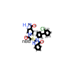 CCCCC(Sc1nc2ccccc2c(=O)n1-c1cccc(-c2ccccc2Cl)c1)C(=O)N1CCC(C(N)=O)CC1